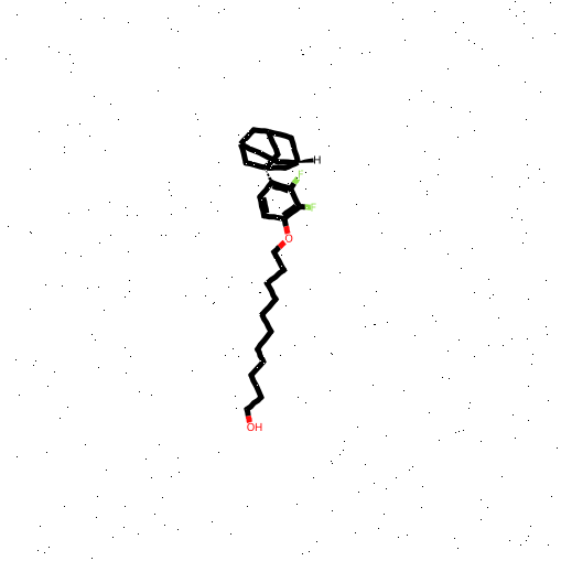 OCCCCCCCCCCCOc1ccc([C@]23CC4CC(C[C@H](C4)C2)C3)c(F)c1F